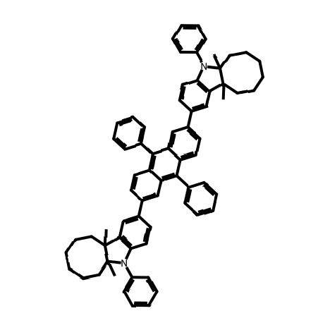 CC12CCCCCCC1(C)N(c1ccccc1)c1ccc(-c3ccc4c(-c5ccccc5)c5cc(-c6ccc7c(c6)C6(C)CCCCCCC6(C)N7c6ccccc6)ccc5c(-c5ccccc5)c4c3)cc12